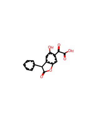 O=C(O)C(=O)c1cc2c(cc1O)C(c1ccccc1)C(=O)O2